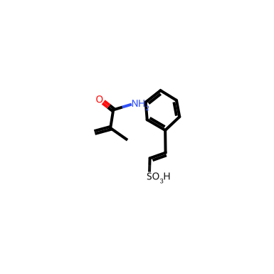 C=C(C)C(N)=O.O=S(=O)(O)C=Cc1ccccc1